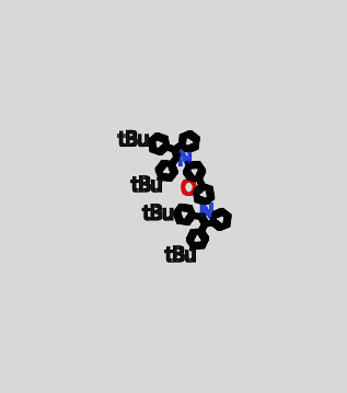 CC(C)(C)c1ccc(-c2c(-c3ccc(C(C)(C)C)cc3)n(-c3ccc4c(c3)oc3cc(-n5c(-c6ccc(C(C)(C)C)cc6)c(-c6ccc(C(C)(C)C)cc6)c6ccccc65)ccc34)c3ccccc23)cc1